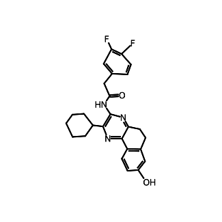 O=C(Cc1ccc(F)c(F)c1)Nc1nc2c(nc1C1CCCCC1)-c1ccc(O)cc1CC2